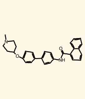 CN1CCC(Oc2ccc(-c3ccc(NC(=O)c4cccc5ccccc45)cc3)cc2)CC1